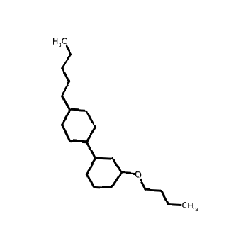 CCCCCC1CCC(C2CCCC(OCCCC)C2)CC1